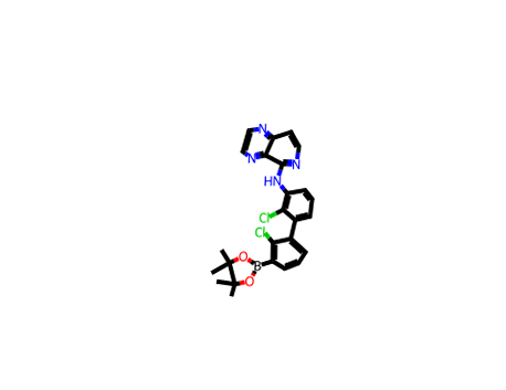 CC1(C)OB(c2cccc(-c3cccc(Nc4nccc5nccnc45)c3Cl)c2Cl)OC1(C)C